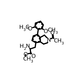 COC(=O)C(N)Cc1ccc(-c2c(OC)cccc2OC)c2c1CCN(C(C)=O)C2